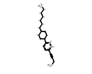 CCC#Cc1ccc(C2CCC(CCCCCCC)CC2)nn1